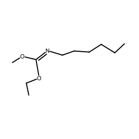 [CH2]CCCCCN=C(OC)OCC